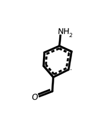 Nc1c[c]c(C=O)cc1